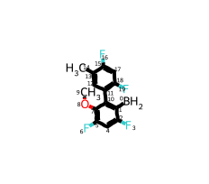 Bc1c(F)cc(F)c(OC)c1-c1cc(C)c(F)cc1F